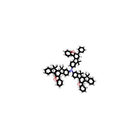 CC1(C)c2cc(N(c3ccc4c(c3)C(C)(C)c3c5c(c6c(oc7ccccc76)c3-4)-c3ccccc3C5(C)C)c3ccc4c(c3)C(C)(C)c3c5c(c6oc7ccccc7c6c3-4)-c3ccccc3C5(C)C)ccc2-c2c1cc(-c1ccccc1)c1oc3ccccc3c21